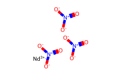 O=[N+]([O-])[O-].O=[N+]([O-])[O-].O=[N+]([O-])[O-].[Nd+3]